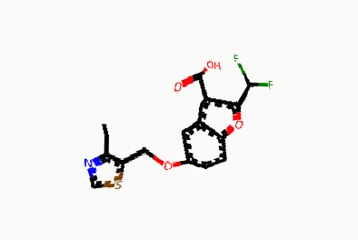 Cc1ncsc1COc1ccc2oc(C(F)F)c(C(=O)O)c2c1